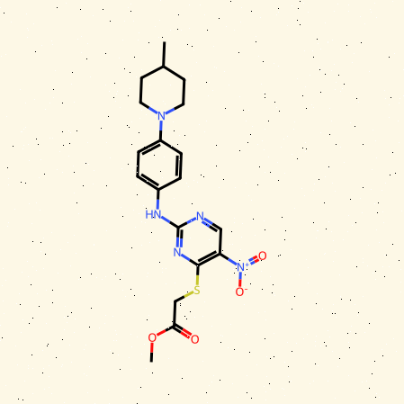 COC(=O)CSc1nc(Nc2ccc(N3CCC(C)CC3)cc2)ncc1[N+](=O)[O-]